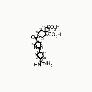 N=C(N)c1ccc(-c2ncc(C(=O)N3CCC(CC(=O)O)(CC(=O)O)CC3)cn2)cc1